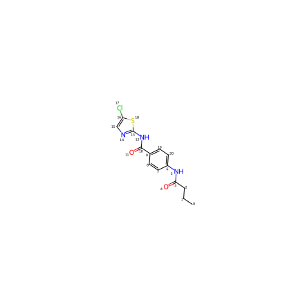 CCCC(=O)Nc1ccc(C(=O)Nc2ncc(Cl)s2)cc1